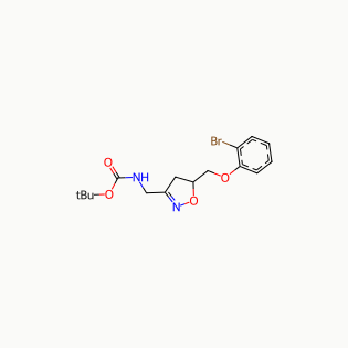 CC(C)(C)OC(=O)NCC1=NOC(COc2ccccc2Br)C1